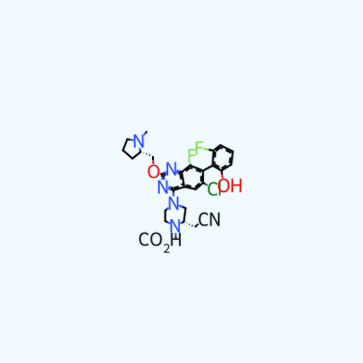 CN1CCC[C@H]1COc1nc(N2CCN(C(=O)O)[C@@H](CC#N)C2)c2cc(Cl)c(-c3c(O)cccc3F)c(F)c2n1